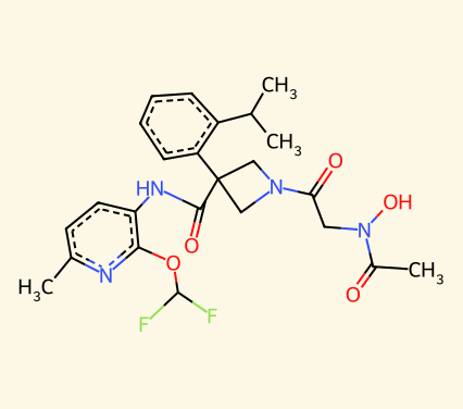 CC(=O)N(O)CC(=O)N1CC(C(=O)Nc2ccc(C)nc2OC(F)F)(c2ccccc2C(C)C)C1